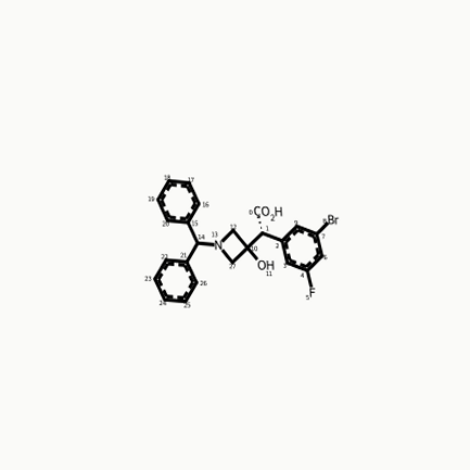 O=C(O)[C@H](c1cc(F)cc(Br)c1)C1(O)CN(C(c2ccccc2)c2ccccc2)C1